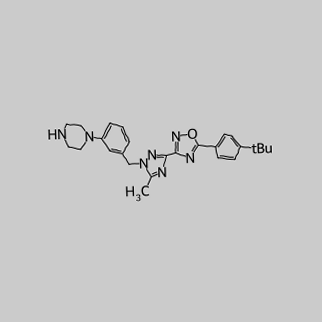 Cc1nc(-c2noc(-c3ccc(C(C)(C)C)cc3)n2)nn1Cc1cccc(N2CCNCC2)c1